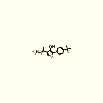 C/C(=N\N)c1csc(-c2ccc(C(C)(C)C)cc2)c1O